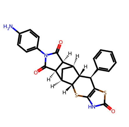 Nc1ccc(N2C(=O)[C@@H]3[C@H]4C[C@@H]([C@@H]3C2=O)[C@@H]2[C@@H](c3ccccc3)c3sc(=O)[nH]c3S[C@H]42)cc1